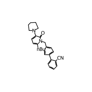 CCCCc1ccc(N2CCCCC2)c(=O)n1Cc1ccc(-c2ccccc2C#N)cc1